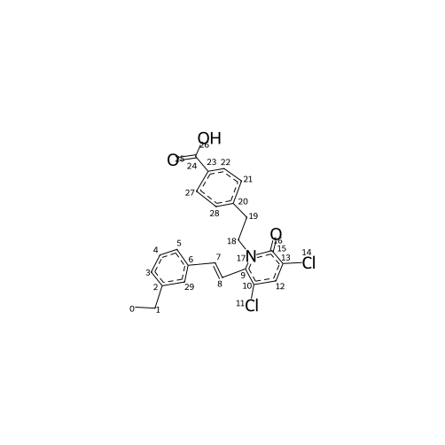 CCc1cccc(C=Cc2c(Cl)cc(Cl)c(=O)n2CCc2ccc(C(=O)O)cc2)c1